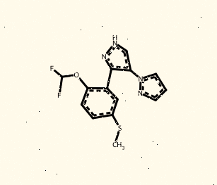 CSc1ccc(OC(F)F)c(-c2n[nH]cc2-n2cccn2)c1